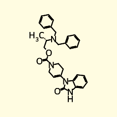 C[C@@H](COC(=O)N1CC=C(n2c(=O)[nH]c3ccccc32)CC1)N(Cc1ccccc1)Cc1ccccc1